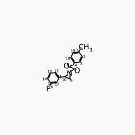 Cc1ccc(S(=O)(=O)N2CC2c2cccc(F)c2)cc1